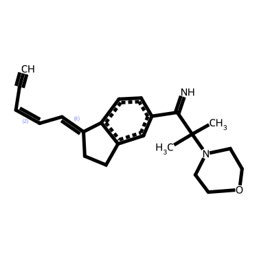 C#C/C=C\C=C1/CCc2cc(C(=N)C(C)(C)N3CCOCC3)ccc21